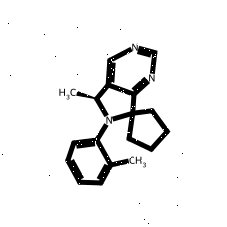 Cc1ccccc1N1[C@@H](C)c2cncnc2C12CCCC2